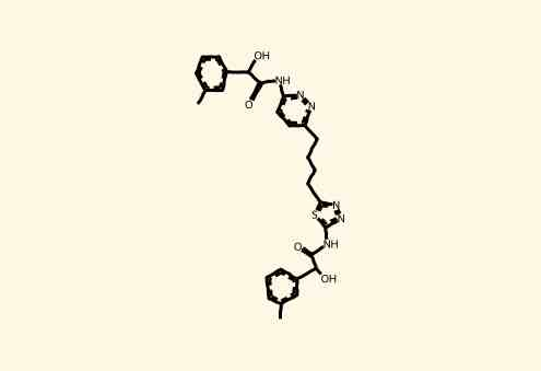 Cc1cccc(C(O)C(=O)Nc2ccc(CCCCc3nnc(NC(=O)C(O)c4cccc(C)c4)s3)nn2)c1